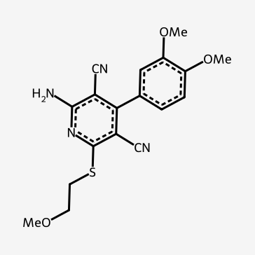 COCCSc1nc(N)c(C#N)c(-c2ccc(OC)c(OC)c2)c1C#N